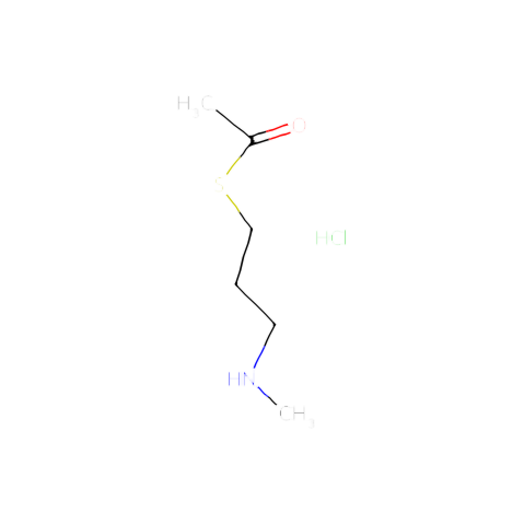 CNCCCSC(C)=O.Cl